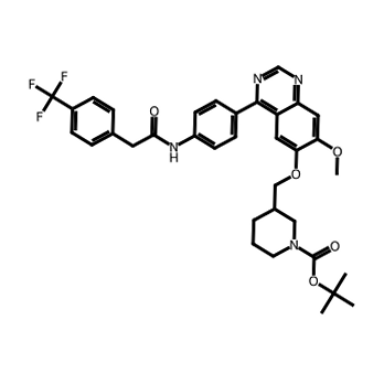 COc1cc2ncnc(-c3ccc(NC(=O)Cc4ccc(C(F)(F)F)cc4)cc3)c2cc1OCC1CCCN(C(=O)OC(C)(C)C)C1